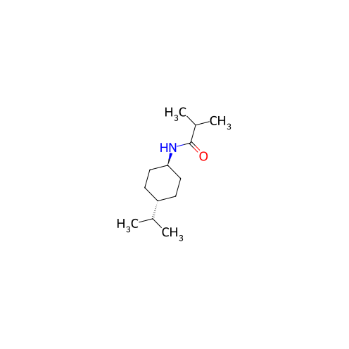 CC(C)C(=O)N[C@H]1CC[C@H](C(C)C)CC1